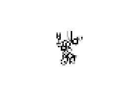 COc1cccc(NC(=O)CC2B(C#N)CCc3cc(OCC4CCCCO4)c(Oc4ccc(Br)c(F)c4)cc32)c1